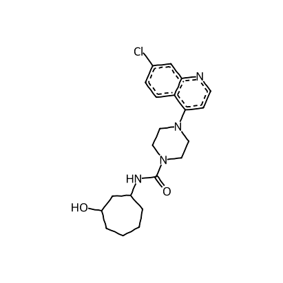 O=C(NC1CCCCC(O)C1)N1CCN(c2ccnc3cc(Cl)ccc23)CC1